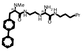 CN[C@H](Cc1ccc(-c2ccccc2)cc1)C(=O)NCCN[C@@H](N)C(=O)NCCCC(C)C